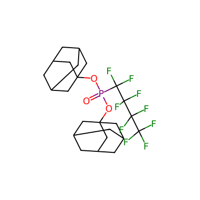 O=P(OC12CC3CC(CC(C3)C1)C2)(OC12CC3CC(CC(C3)C1)C2)C(F)(F)C(F)(F)C(F)(F)C(F)(F)F